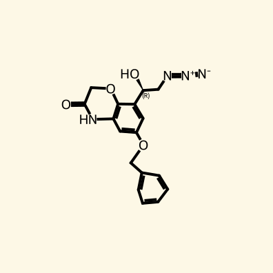 [N-]=[N+]=NC[C@H](O)c1cc(OCc2ccccc2)cc2c1OCC(=O)N2